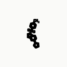 Cc1ccc(S(=O)(=O)n2ccc3cc(C4C=CCC4)ccc32)cc1